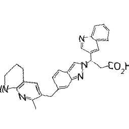 Cc1nc2c(cc1Cc1ccc3cn(C(CC(=O)O)c4cnc5ccccc5c4)nc3c1)CCCN2